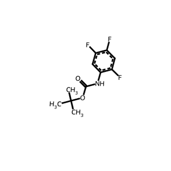 CC(C)(C)OC(=O)Nc1cc(F)c(F)cc1F